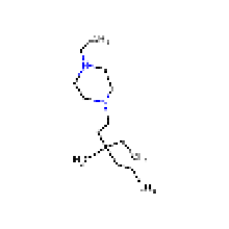 CCCC(C)(CC)CCN1CCN(CC)CC1